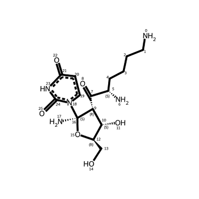 NCCCC[C@H](N)C(=O)[C@@H]1[C@H](O)[C@@H](CO)O[C@@]1(N)n1ccc(=O)[nH]c1=O